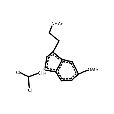 COc1ccc2[nH]cc(CCNC(C)=O)c2c1.ClC(Cl)Cl